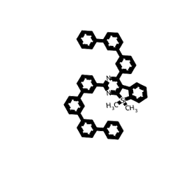 C[Si]1(C)c2ccccc2-c2c(-c3cccc(-c4cccc(-c5ccccc5)c4)c3)nc(-c3cccc(-c4cccc(-c5cccc(-c6ccccc6)c5)c4)c3)nc21